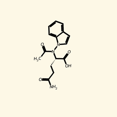 CC(=O)N([C@@H](CCC(N)=O)C(=O)O)n1ccc2ccccc21